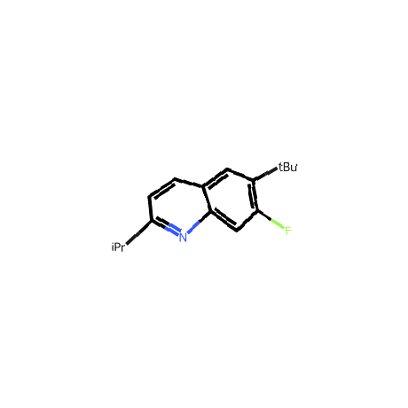 CC(C)c1ccc2cc(C(C)(C)C)c(F)cc2n1